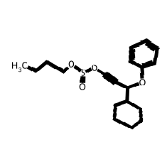 CCCCOS(=O)OC#CC(Oc1ccccc1)C1CCCCC1